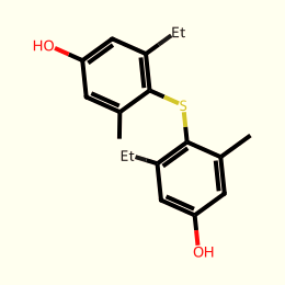 CCc1cc(O)cc(C)c1Sc1c(C)cc(O)cc1CC